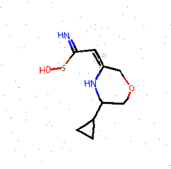 N=C(/C=C1/COCC(C2CC2)N1)SO